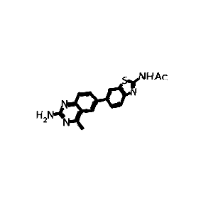 CC(=O)Nc1nc2ccc(-c3ccc4nc(N)nc(C)c4c3)cc2s1